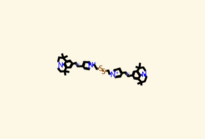 CC1(C)CCN2CCC(C)(C)c3cc(/C=C/c4cc[n+](CCSSCC[n+]5ccc(/C=C/c6cc7c8c(c6)C(C)(C)CCN8CCC7(C)C)cc5)cc4)cc1c32